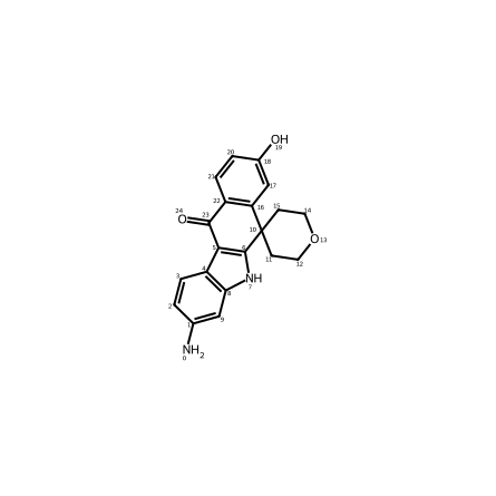 Nc1ccc2c3c([nH]c2c1)C1(CCOCC1)c1cc(O)ccc1C3=O